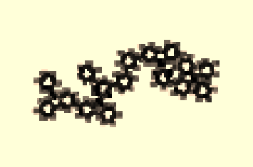 c1ccc(-c2cc(-c3cccc(-c4cccc(-c5ccc6c7ccccc7n(-c7nccc(-c8cccc([Si](c9ccccc9)(c9ccccc9)c9ccccc9)c8)n7)c6c5)c4)c3)nc(-n3c4ccccc4c4ccc(-c5ccc6c(c5)c5ccccc5n6-c5ccccc5)cc43)n2)cc1